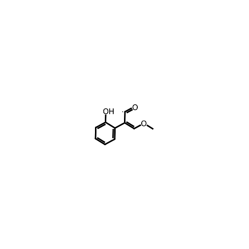 COC=C([C]=O)c1ccccc1O